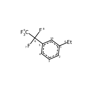 [CH2]Cc1cccc(C(F)(F)C(F)(F)F)c1